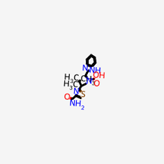 CC(C)(C)C(CN(Cc1nc2ccccc2[nH]1)C(=O)O)c1nc(C(N)=O)cs1